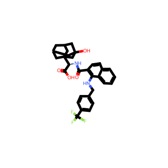 O=C(N[C@H](C(=O)O)C12CC3CC(CC(O)(C3)C1)C2)c1ccc2ccccc2c1NCc1ccc(C(F)(F)F)cc1